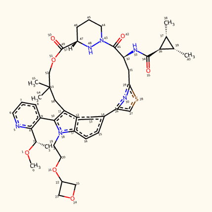 CO[C@@H](C)c1ncccc1-c1c2c3cc(ccc3n1CCOC1COC1)-c1csc(n1)C[C@H](NC(=O)[C@H]1[C@H](C)[C@@H]1C)C(=O)N1CCC[C@H](N1)C(=O)OCC(C)(C)C2